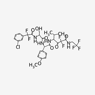 COc1ccc(C(NC(=O)C(CO)NC(=O)C(F)(F)c2cccc(Cl)c2)C(=O)NC(C(=O)C(F)(F)C(=O)NCC(F)(F)F)C(C)C)cc1